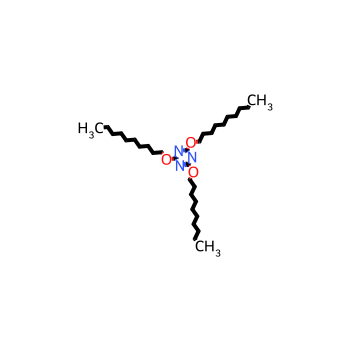 CCCCCCCCCCOc1nc(OCCCCCCCCCC)nc(OCCCCCCCCCC)n1